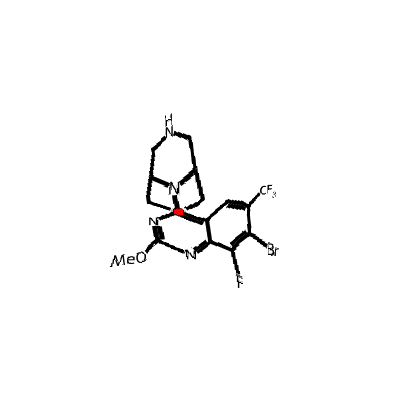 COc1nc(N2C3CNCC2COC3)c2cc(C(F)(F)F)c(Br)c(F)c2n1